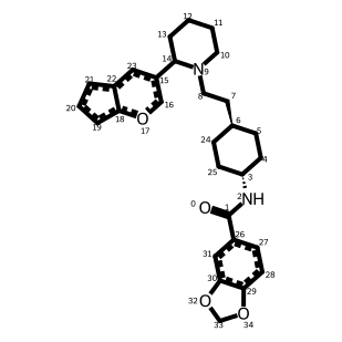 O=C(N[C@H]1CC[C@H](CCN2CCCCC2c2coc3cccc-3c2)CC1)c1ccc2c(c1)OCO2